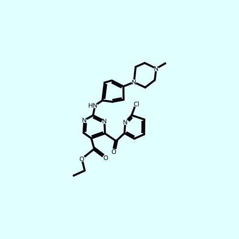 CCOC(=O)c1cnc(Nc2ccc(N3CCN(C)CC3)cc2)nc1C(=O)c1cccc(Cl)n1